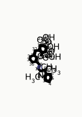 CN1c2ccccc2C(C)(C)C1/C=C/C1=C2Oc3c(cc(S(=O)(=O)O)c(O)c3S(=O)(=O)O)C=C2CCC1